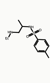 CCNCC(C)NS(=O)(=O)c1ccc(C)cc1